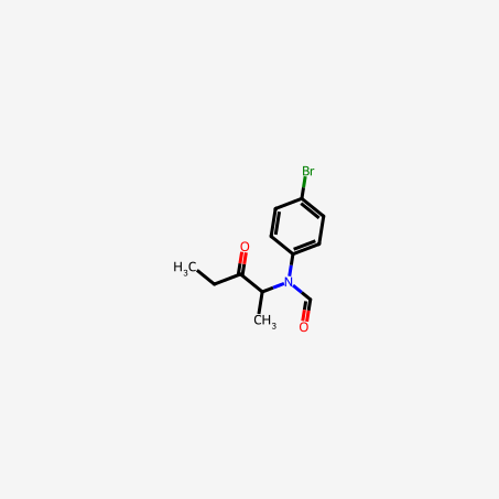 CCC(=O)C(C)N(C=O)c1ccc(Br)cc1